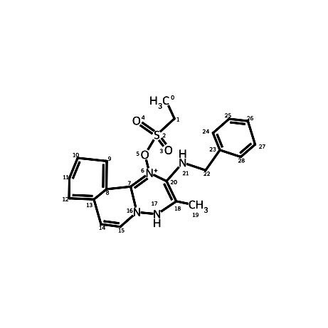 CCS(=O)(=O)O[N+]1=C2c3ccccc3C=CN2NC(C)=C1NCc1ccccc1